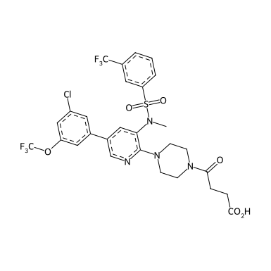 CN(c1cc(-c2cc(Cl)cc(OC(F)(F)F)c2)cnc1N1CCN(C(=O)CCC(=O)O)CC1)S(=O)(=O)c1cccc(C(F)(F)F)c1